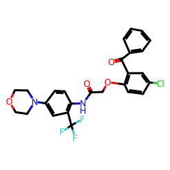 O=C(COc1ccc(Cl)cc1C(=O)c1ccccc1)Nc1ccc(N2CCOCC2)cc1C(F)(F)F